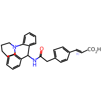 O=C(O)/C=C/c1ccc(CC(=O)NC(c2ccccc2)c2ccccc2N2CCCCC2)cc1